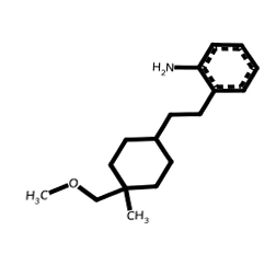 COCC1(C)CCC(CCc2ccccc2N)CC1